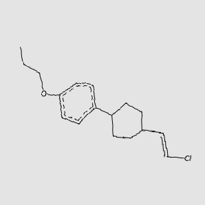 CCCOc1ccc(C2CCC(/C=C/Cl)CC2)cc1